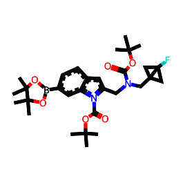 CC(C)(C)OC(=O)N(Cc1cc2ccc(B3OC(C)(C)C(C)(C)O3)cc2n1C(=O)OC(C)(C)C)CC12CC1(F)C2